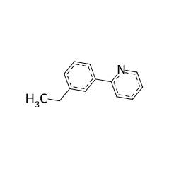 CCc1cccc(-c2ccccn2)c1